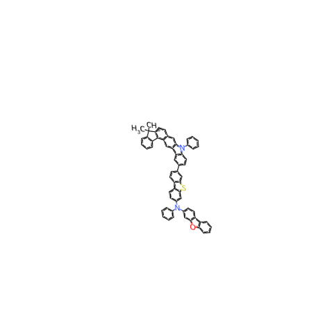 CC1(C)c2ccccc2-c2c1ccc1cc3c(cc21)c1cc(-c2ccc4c(c2)sc2cc(N(c5ccccc5)c5ccc6c(c5)oc5ccccc56)ccc24)ccc1n3-c1ccccc1